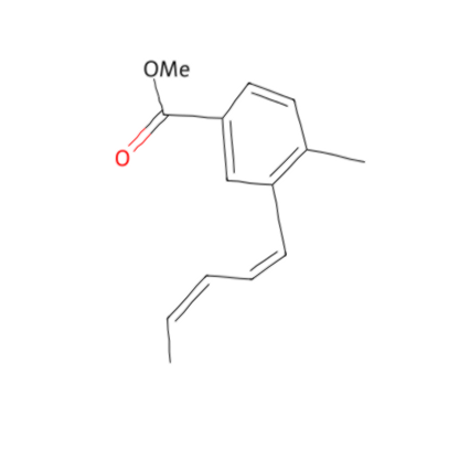 C/C=C\C=C/c1cc(C(=O)OC)ccc1C